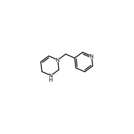 C1=CN(Cc2cccnc2)CNC1